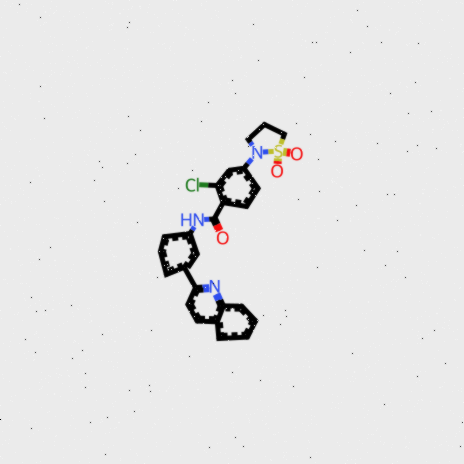 O=C(Nc1cccc(-c2ccc3ccccc3n2)c1)c1ccc(N2CCCS2(=O)=O)cc1Cl